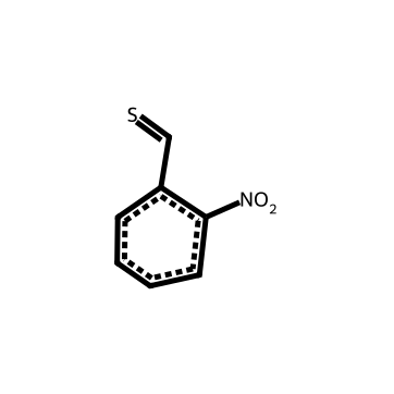 O=[N+]([O-])c1ccccc1C=S